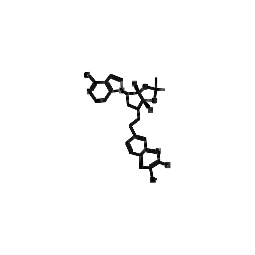 CC1(C)O[C@@H]2C(CCc3ccc4cc(Br)c(Cl)nc4c3)CC(n3ccc4c(Cl)nccc43)[C@@H]2O1